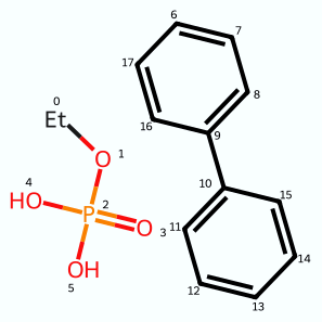 CCOP(=O)(O)O.c1ccc(-c2ccccc2)cc1